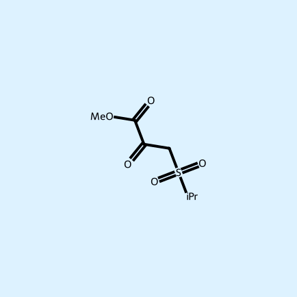 COC(=O)C(=O)CS(=O)(=O)C(C)C